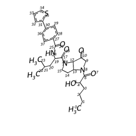 CCCCC(O)C(=O)N1CC(=O)C2C1CCN2C(=O)C(CC(C)C)NC(=O)c1ccc(-c2cccs2)cc1